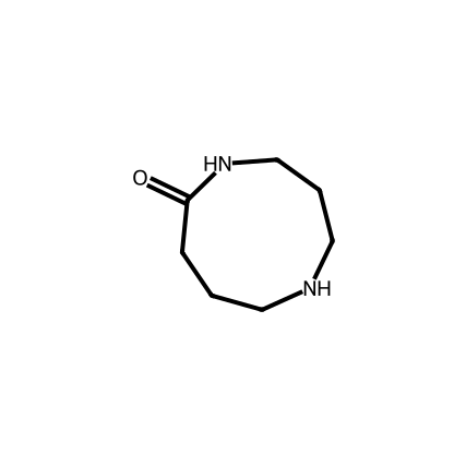 O=C1CCCNCCCN1